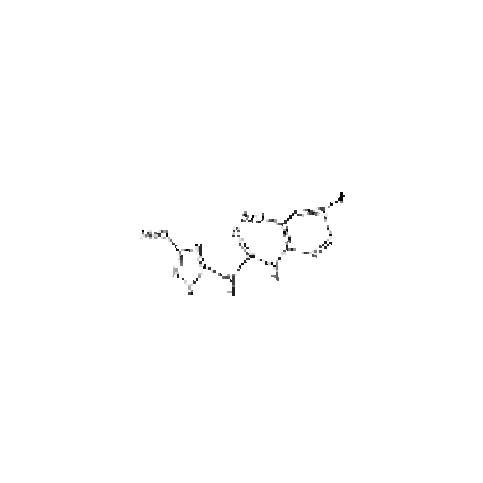 COc1nsc(NC(=O)Nc2ccc(F)cc2OCC(C)C)n1